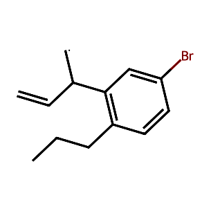 [CH2]C(C=C)c1cc(Br)ccc1CCC